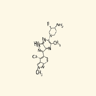 Cc1nc2c(-c3ccc4nn(C)cc4c3Cl)n[nH]c2nc1N1CC[C@H](N)[C@H](F)C1